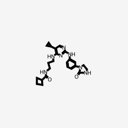 O=C(NCCCNc1nc(Nc2cccc(N3CCNC3=O)c2)ncc1C1CC1)C1CCC1